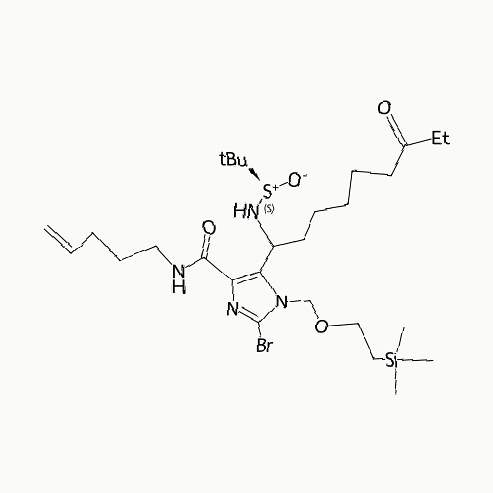 C=CCCCNC(=O)c1nc(Br)n(COCC[Si](C)(C)C)c1C(CCCCCC(=O)CC)N[S@+]([O-])C(C)(C)C